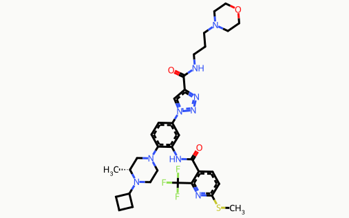 CSc1ccc(C(=O)Nc2cc(-n3cc(C(=O)NCCCN4CCOCC4)nn3)ccc2N2CCN(C3CCC3)[C@H](C)C2)c(C(F)(F)F)n1